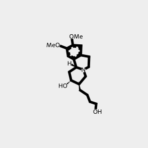 COc1cc2c(cc1OC)[C@H]1C[C@@H](O)[C@H](CCCCO)CN1CC2